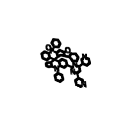 O=P1(c2ccccc2)c2ccccc2C2(c3ccccc3N(c3ccccc3)c3cc(-c4nc(-c5cccnc5)cc(-c5cccnc5)n4)ccc32)c2cc3c(cc21)oc1ccccc13